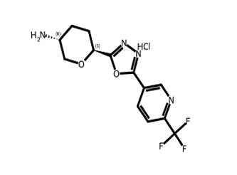 Cl.N[C@@H]1CC[C@@H](c2nnc(-c3ccc(C(F)(F)F)nc3)o2)OC1